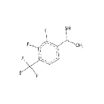 CC(S)c1ccc(C(F)(F)F)c(F)c1F